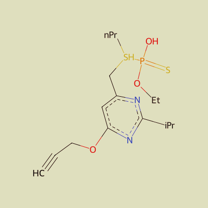 C#CCOc1cc(C[SH](CCC)P(O)(=S)OCC)nc(C(C)C)n1